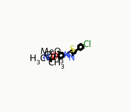 COc1cc(N2C=Nc3cc(-c4ccc(Cl)cc4)sc3C2)ccc1OCC(C)(C)CN(C)C